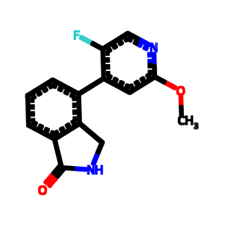 COc1cc(-c2cccc3c2CNC3=O)c(F)cn1